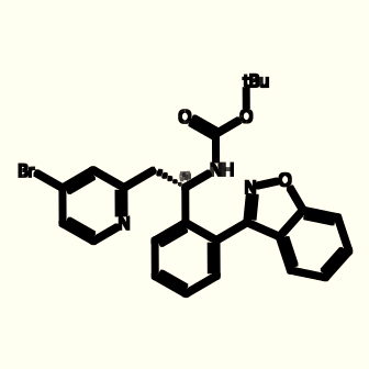 CC(C)(C)OC(=O)N[C@@H](Cc1cc(Br)ccn1)c1ccccc1-c1noc2ccccc12